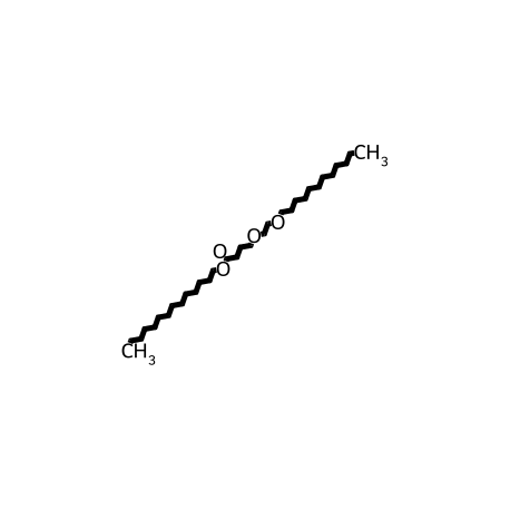 CCCCCCCCCCCCCCOC(=O)CCCOCCOCCCCCCCCCCCC